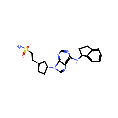 NS(=O)(=O)CC[C@@H]1CC[C@H](n2cnc3c(NC4CCc5ccccc54)ncnc32)C1